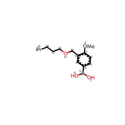 COc1ccc(B(O)O)cc1COCCCC(C)C